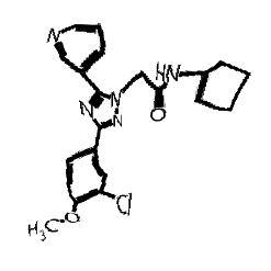 COc1ccc(-c2nc(-c3cccnc3)n(CC(=O)NC3CCCC3)n2)cc1Cl